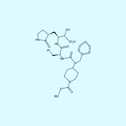 CC(C)C[C@H](NC(=O)N(Cc1ccccc1)C1CCN(C(=O)OC(C)(C)C)CC1)C(=O)N[C@@H](C[C@@H]1CCNC1=O)C(O)S(=O)(=O)O